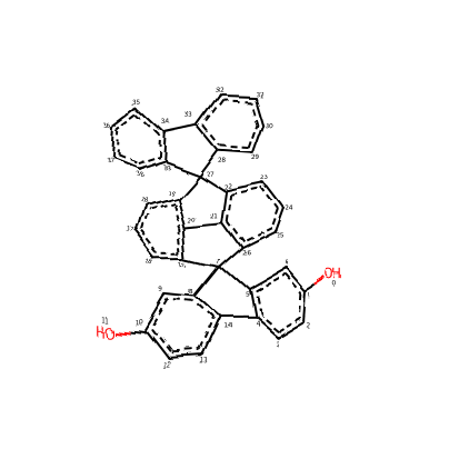 Oc1ccc2c(c1)C1(c3cc(O)ccc3-2)c2cccc3c2-c2c(cccc21)C31c2ccccc2-c2ccccc21